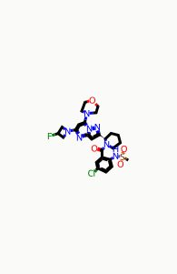 CS(=O)(=O)Nc1ccc(Cl)cc1C(=O)N1CCCC[C@H]1c1cc2nc(N3CC(F)C3)cc(N3CCOCC3)n2n1